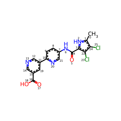 Cc1[nH]c(C(=O)Nc2ccc(-c3cncc(C(=O)O)c3)nc2)c(Cl)c1Cl